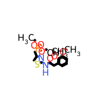 CCOP(=O)(CC1CSC(NC(=O)Cc2cccc(OC)c2OC)=N1)OCC